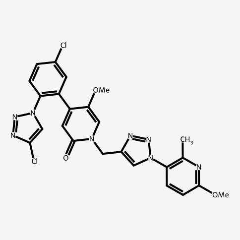 COc1ccc(-n2cc(Cn3cc(OC)c(-c4cc(Cl)ccc4-n4cc(Cl)nn4)cc3=O)nn2)c(C)n1